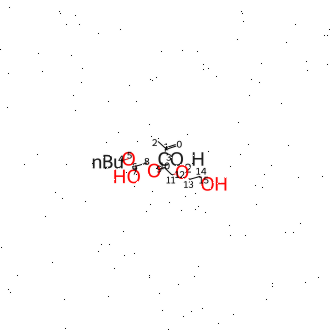 C=C(C)C(=O)O.CCCCOC(O)COCCOCCO